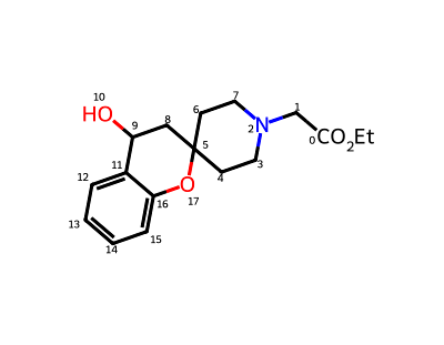 CCOC(=O)CN1CCC2(CC1)CC(O)c1ccccc1O2